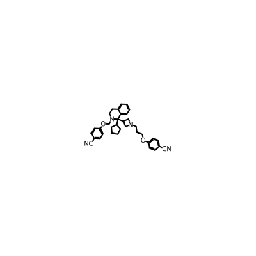 N#Cc1ccc(OCCCN2CC(C3(C4CCCC4)c4ccccc4CCN3COc3ccc(C#N)cc3)C2)cc1